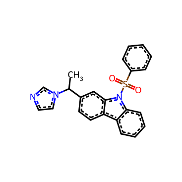 CC(c1ccc2c3ccccc3n(S(=O)(=O)c3ccccc3)c2c1)n1ccnc1